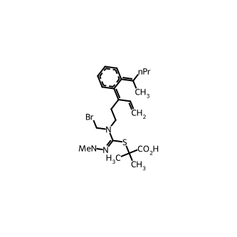 C=C/C(CCN(CBr)/C(=N\NC)SC(C)(C)C(=O)O)=c1/cccc/c1=C(/C)CCC